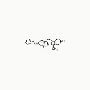 Cn1c2c(c3ccc(-n4ccc(OCc5ccccc5)cc4=O)nc31)CCNCC2